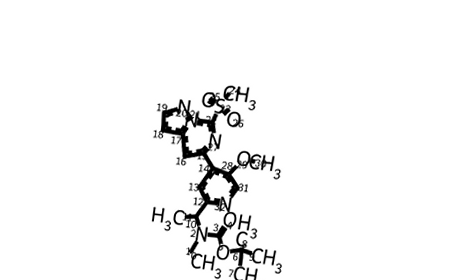 CCN(C(=O)OC(C)(C)C)C(C)c1cc(-c2cc3ccnn3c(S(C)(=O)=O)n2)c(OC)cn1